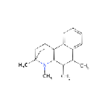 CC1c2ccccc2C23CCC(C)(CC2)N(C)C3C1C